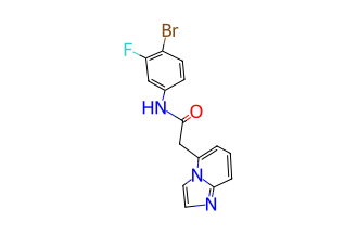 O=C(Cc1cccc2nccn12)Nc1ccc(Br)c(F)c1